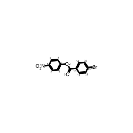 O=C(Oc1ccc([N+](=O)[O-])cc1)c1ccc(Br)cc1